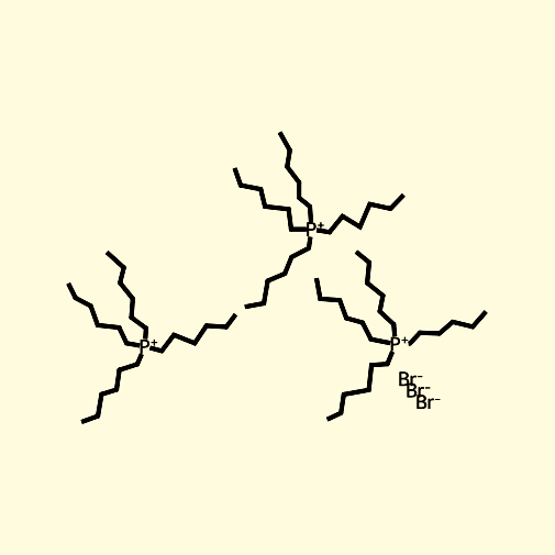 CCCCCC[P+](CCCCCC)(CCCCCC)CCCCCC.CCCCCC[P+](CCCCCC)(CCCCCC)CCCCCC.CCCCCC[P+](CCCCCC)(CCCCCC)CCCCCC.[Br-].[Br-].[Br-]